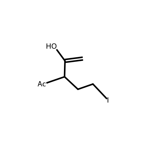 C=C(O)C(CCI)C(C)=O